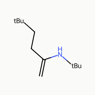 C=C(CCC(C)(C)C)NC(C)(C)C